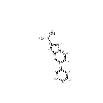 O=C(O)c1cc2cc(-c3ccccc3)ccn2n1